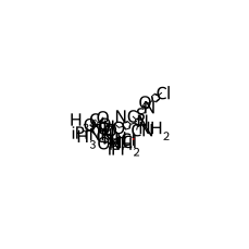 CC(NC(=O)[C@@H](N)C(C)C)C(=O)O[C@H](COC(=O)[C@H](C)NC(=O)[C@@H](N)C(C)C)COc1ccc(-c2c(C#N)c(N)nc(SCc3coc(-c4ccc(Cl)cc4)n3)c2C#N)cc1.Cl.Cl